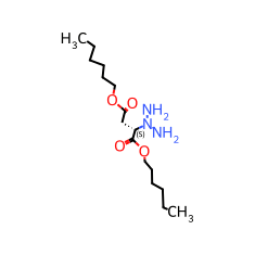 CCCCCCOC(=O)C[C@@H](C(=O)OCCCCCC)N(N)N